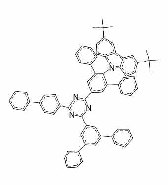 CC(C)(C)c1ccc2c(c1)c1cc(C(C)(C)C)ccc1n2-c1c(-c2ccccc2)cc(-c2nc(-c3ccc(-c4ccccc4)cc3)nc(-c3cc(-c4ccccc4)cc(-c4ccccc4)c3)n2)cc1-c1ccccc1